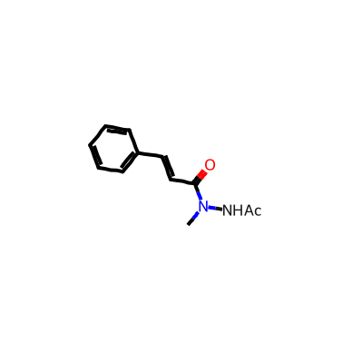 CC(=O)NN(C)C(=O)/C=C/c1ccccc1